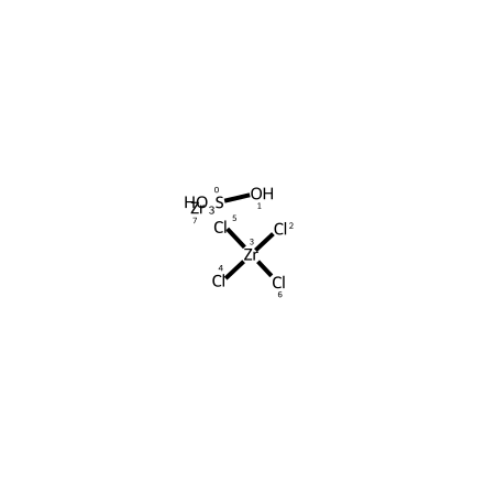 O=S(=O)(O)O.[Cl][Zr]([Cl])([Cl])[Cl].[Zr]